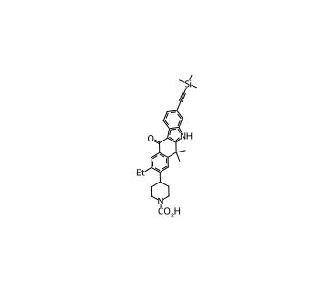 CCc1cc2c(cc1C1CCN(C(=O)O)CC1)C(C)(C)c1[nH]c3cc(C#C[Si](C)(C)C)ccc3c1C2=O